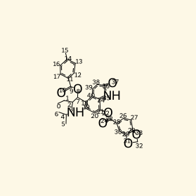 CCC(NC(C)C)C(OC(=O)c1ccc(C)cc1)c1ccc(OC(=O)c2ccc3c(c2)OCO3)c2[nH]c(=O)ccc12